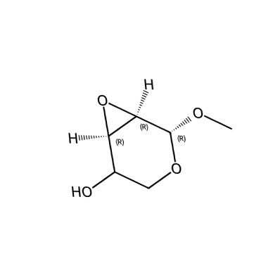 CO[C@@H]1OCC(O)[C@H]2O[C@@H]12